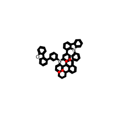 c1ccc(-n2c3ccccc3c3cccc(-c4cccc(N(c5cccc(-c6cccc7oc8ccccc8c67)c5)c5ccccc5-c5cccc6cccc(C7CCCCC7)c56)c4)c32)cc1